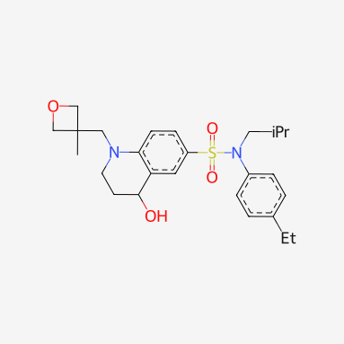 CCc1ccc(N(CC(C)C)S(=O)(=O)c2ccc3c(c2)C(O)CCN3CC2(C)COC2)cc1